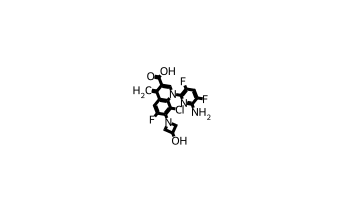 C=C1C(C(=O)O)=CN(c2nc(N)c(F)cc2F)c2c1cc(F)c(N1CC(O)C1)c2Cl